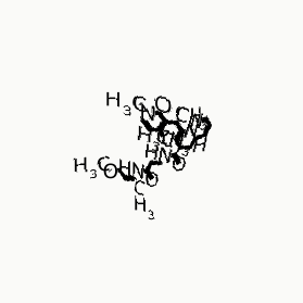 COC/C=C(/C)NC(=O)CCNC(=O)[C@@H]1C[C@@H]2C=CC=NN2C([C@@H](C)c2c(C)ccn(C)c2=O)=C1C